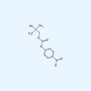 CC(C)(S)COC(=O)Oc1ccc([N+](=O)[O-])cc1